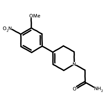 COc1cc(C2=CCN(CC(N)=O)CC2)ccc1[N+](=O)[O-]